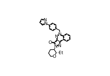 CC[C@@H]1OCCC[C@H]1n1nc2c3ccccc3n(Cc3ccc(-n4cccn4)cc3)nc-2c1=O